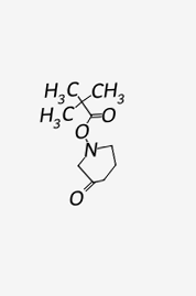 CC(C)(C)C(=O)ON1CCCC(=O)C1